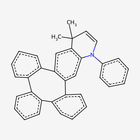 CC1(C)C=CN(c2ccccc2)c2cc3c(cc21)-c1ccccc1-c1ccccc1-c1ccccc1-3